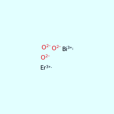 [Bi+3].[Er+3].[O-2].[O-2].[O-2]